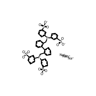 O=S(=O)([O-])c1cccc(P(Cc2ccccc2-c2ccccc2CP(c2cccc(S(=O)(=O)[O-])c2)c2cccc(S(=O)(=O)[O-])c2)c2cccc(S(=O)(=O)[O-])c2)c1.[Na+].[Na+].[Na+].[Na+]